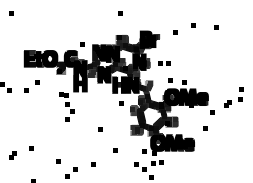 CCOC(=O)Nc1nc2c(NCc3ccc(OC)cc3OC)nc(Br)cn2n1